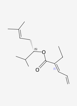 C=C/C=C(\CC)C(=O)O[C@@H](CC=C(C)C)C(C)C